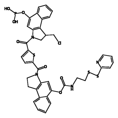 O=C(NCCSSc1ccccn1)Oc1cc2c(c3ccccc13)CCN2C(=O)c1ccc(C(=O)N2CC(CCl)c3c2cc(OP(O)O)c2ccccc32)s1